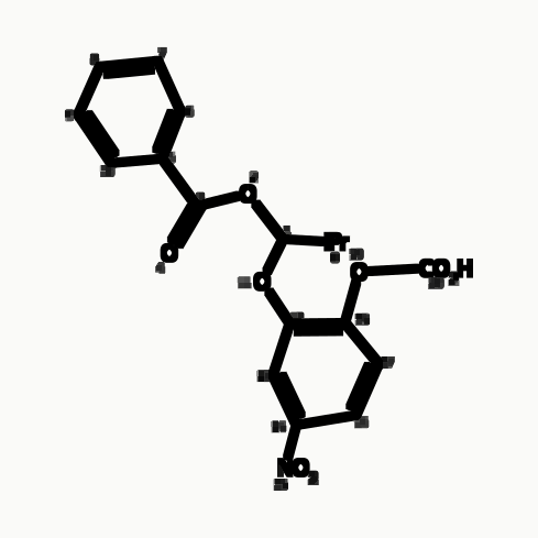 CC(C)C(OC(=O)c1ccccc1)Oc1cc([N+](=O)[O-])ccc1OC(=O)O